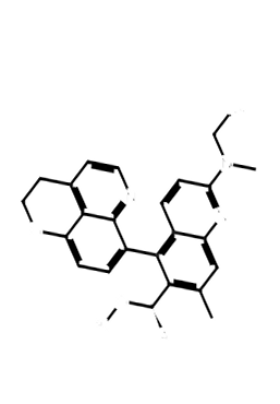 CC(=O)[C@@H](OC(C)(C)C)c1c(C)cc2nc(N(C)CC(C)C)ccc2c1-c1ccc2c3c(ccnc13)CCO2